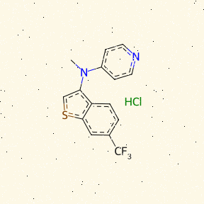 CN(c1ccncc1)c1csc2cc(C(F)(F)F)ccc12.Cl